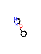 [c]1cc(OCc2ccccc2)ncn1